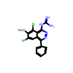 COc1c(Br)cc2c(-c3ccccc3)nnc(NC(=N)N)c2c1Br